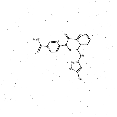 CNC(=O)c1ccc(-n2nc(Nc3cc(C)[nH]n3)c3ccccc3c2=O)cc1